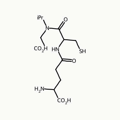 CC(C)N(CC(=O)O)C(=O)C(CS)NC(=O)CCC(N)C(=O)O